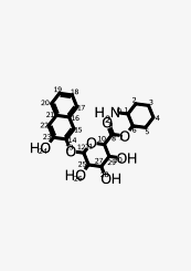 NC1CCCCC1OC(=O)C1OC(Oc2cc3ccccc3cc2O)C(O)C(O)C1O